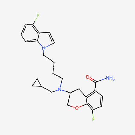 NC(=O)c1ccc(F)c2c1CC(N(CCCCn1ccc3c(F)cccc31)CC1CC1)CO2